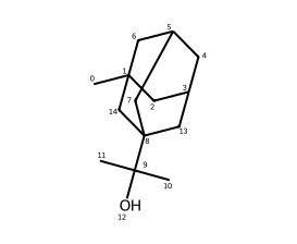 CC12CC3CC(C1)CC(C(C)(C)O)(C3)C2